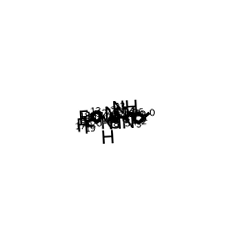 Cc1ccc2[nH]c(-c3sc(Nc4cccc(C(F)(F)F)c4)nc3N)nc2c1